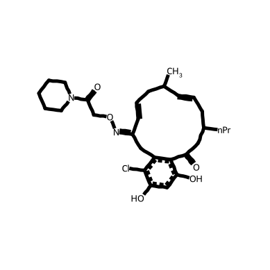 CCCC1C/C=C/C(C)C/C=C/C(=N\OCC(=O)N2CCCCC2)Cc2c(Cl)c(O)cc(O)c2C(=O)C1